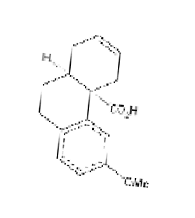 COc1ccc2c(c1)[C@]1(C(=O)O)CC=CC[C@@H]1CC2